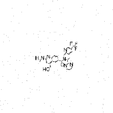 CC(c1ncccn1)N(Cc1ccc(C(F)(F)F)cn1)C(=O)c1ccc2nc(N)cc(CO)c2c1